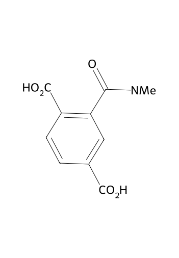 [CH]NC(=O)c1cc(C(=O)O)ccc1C(=O)O